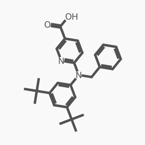 CC(C)(C)c1cc(N(Cc2ccccc2)c2ccc(C(=O)O)cn2)cc(C(C)(C)C)c1